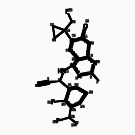 C#C[C@@H](Nc1nc(C)nc2cc(=O)n(C3(CF)CC3)cc12)c1cccc(C(F)F)c1F